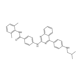 Cc1cccc(C)c1NC(=O)c1ccc(Nc2nc(-c3ccc(NCC(C)C)cc3)c3ccccc3n2)cc1